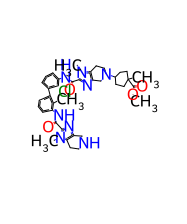 COC(=O)C1(C)CCC(N2CCc3c(nc(C(=O)Nc4cccc(-c5cccc(NC(=O)c6nc7c(n6C)CCNC7)c5C)c4Cl)n3C)C2)CC1